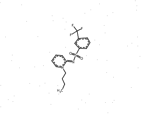 CCCCn1cccc/c1=N\S(=O)(=O)c1cccc(C(F)(F)F)c1